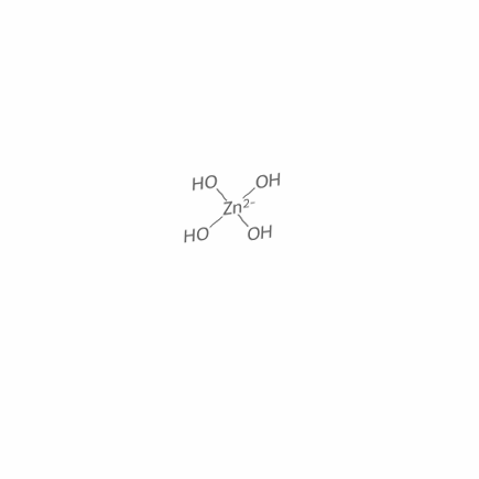 [OH][Zn-2]([OH])([OH])[OH]